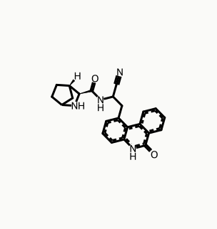 N#CC(Cc1cccc2[nH]c(=O)c3ccccc3c12)NC(=O)[C@H]1NC2CC[C@H]1C2